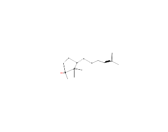 CC(C)=CCCCC1CCC(C)(O)C1(C)C